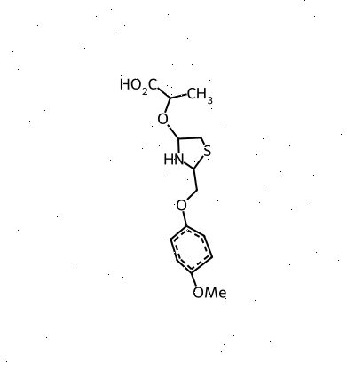 COc1ccc(OCC2NC(OC(C)C(=O)O)CS2)cc1